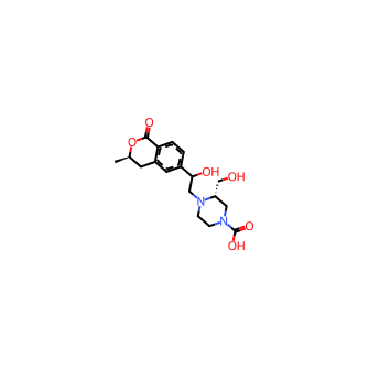 C[C@@H]1Cc2cc(C(O)CN3CCN(C(=O)O)C[C@H]3CO)ccc2C(=O)O1